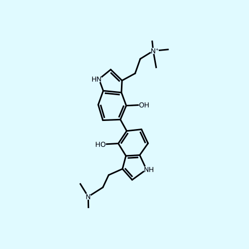 CN(C)CCc1c[nH]c2ccc(-c3ccc4[nH]cc(CC[N+](C)(C)C)c4c3O)c(O)c12